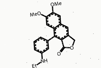 CCNc1cccc(-c2c3c(cc4cc(OC)c(OC)cc24)COC3=O)c1